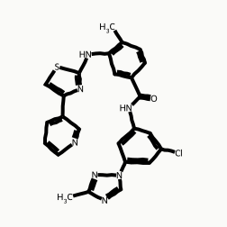 Cc1ncn(-c2cc(Cl)cc(NC(=O)c3ccc(C)c(Nc4nc(-c5cccnc5)cs4)c3)c2)n1